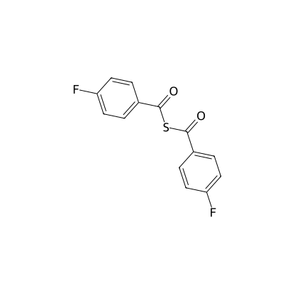 O=C(SC(=O)c1ccc(F)cc1)c1ccc(F)cc1